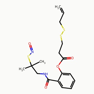 C=CCSSCCC(=O)Oc1ccccc1C(=O)NCC(C)(C)SN=O